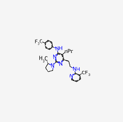 CCCc1c(CCNc2ncccc2C(F)(F)F)nc(N2CCCC2C)nc1Nc1ccc(C(F)(F)F)cc1